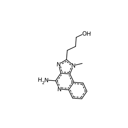 Cn1c(CCCO)nc2c(N)nc3ccccc3c21